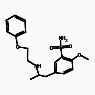 COc1ccc(CC(C)NCCOc2ccccc2)cc1S(N)(=O)=O